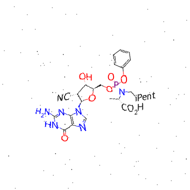 CCCC(C)CN([C@@H](C)C(=O)O)[P@@](=O)(OC[C@H]1O[C@@H](n2cnc3c(=O)[nH]c(N)nc32)[C@H](C#N)[C@@H]1O)Oc1ccccc1